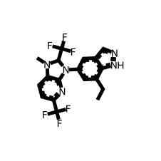 CCc1cc(N2c3nc(C(F)(F)F)ccc3N(C)C2C(F)(F)F)cc2cn[nH]c12